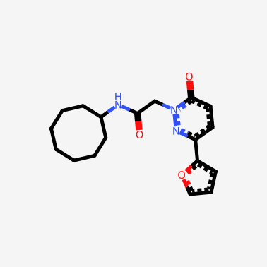 O=C(Cn1nc(-c2ccco2)ccc1=O)NC1CCCCCCC1